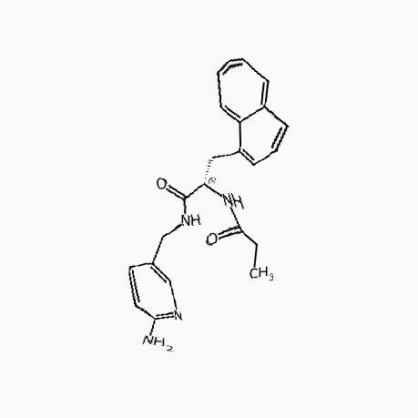 CCC(=O)N[C@@H](Cc1cccc2ccccc12)C(=O)NCc1ccc(N)nc1